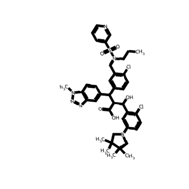 CCCN(Cc1cc(C(c2ccc3c(c2)nnn3C)C(C(=O)O)C(O)c2cc(B3CC(C)(C)C(C)(C)C3)ccc2Cl)ccc1Cl)S(=O)(=O)c1cccnc1